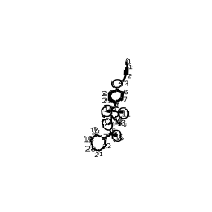 CC#CCOc1ccc(S(=O)(=O)N(C)OC(=O)C2CCCCC2)cc1